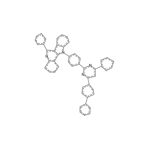 c1ccc(-c2ccc(-c3cc(-c4ccccc4)nc(-c4ccc(-n5c6ccccc6c6c(-c7ccccc7)nc7ccccc7c65)cc4)n3)cc2)cc1